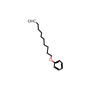 O=[C]CCCCCCCCCOc1ccccc1